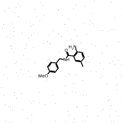 COc1ccc(CNC(=O)c2cc(C)ccc2N)cc1